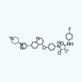 CN1CCC(n2cc(-c3ccc4c(Oc5ccc(NC(=O)C6(C(=O)Nc7ccc(F)cc7)CC6)cc5)ccnc4c3)cn2)CC1